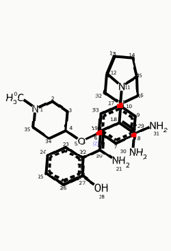 CN1CCC(Oc2cccc(N3C4CCC3CN(C(/C=C(\N)c3ccccc3O)=C(N)N)C4)c2)CC1